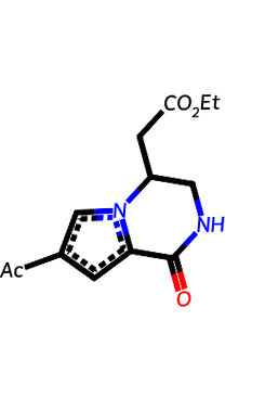 CCOC(=O)CC1CNC(=O)c2cc(C(C)=O)cn21